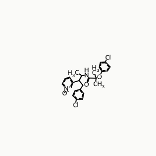 CC(NC(=O)C(C)(C)Oc1ccc(Cl)cc1)C(Cc1ccc(Cl)cc1)c1ccc[n+]([O-])c1